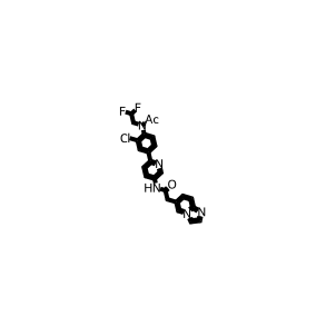 CC(=O)N(CC(F)F)c1ccc(-c2ccc(NC(=O)Cc3ccc4nccn4c3)cn2)cc1Cl